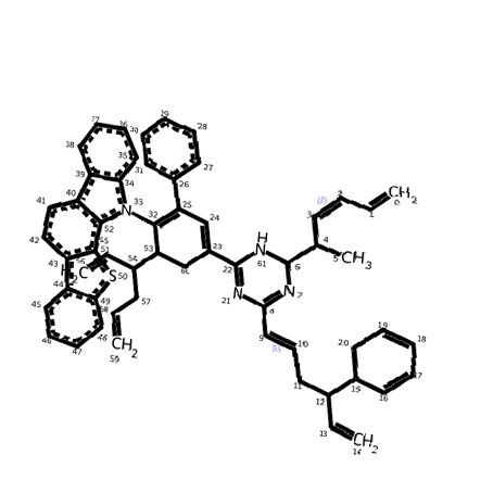 C=C/C=C\C(C)C1N=C(/C=C/CC(C=C)C2C=CC=CC2)N=C(C2=CC(c3ccccc3)=C(n3c4ccccc4c4ccc5c6ccccc6sc5c43)C(C(C=C)CC=C)C2)N1